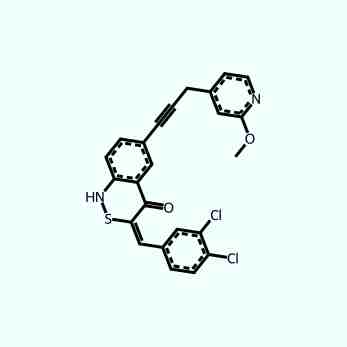 COc1cc(CC#Cc2ccc3c(c2)C(=O)/C(=C\c2ccc(Cl)c(Cl)c2)SN3)ccn1